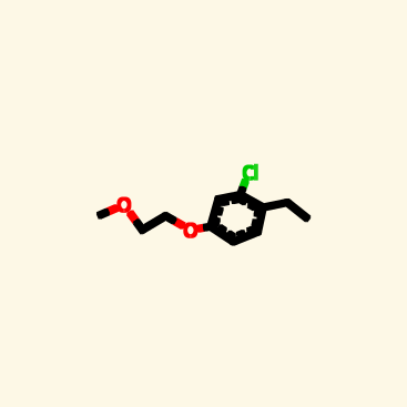 CCc1ccc(OCCOC)cc1Cl